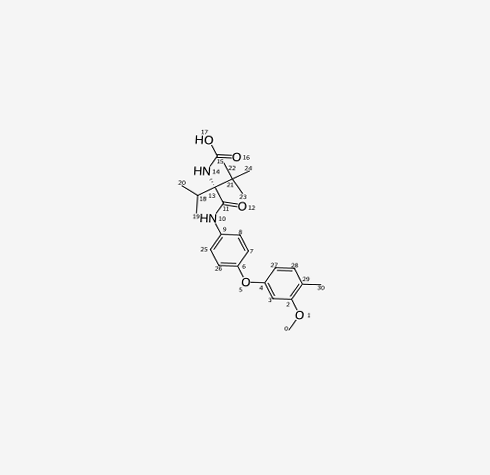 COc1cc(Oc2ccc(NC(=O)[C@@](NC(=O)O)(C(C)C)C(C)(C)C)cc2)ccc1C